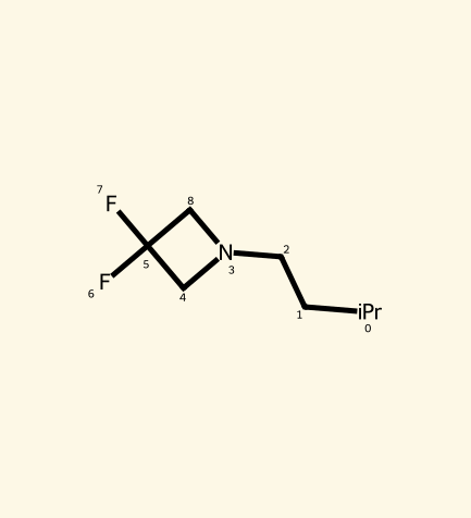 CC(C)CCN1CC(F)(F)C1